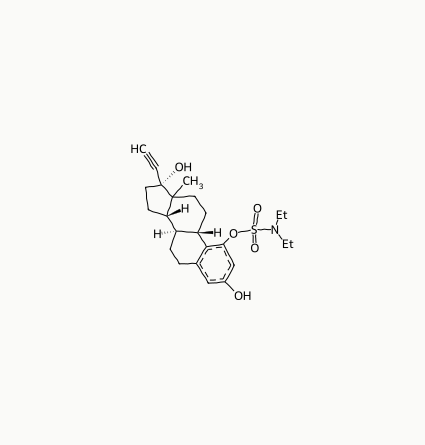 C#C[C@]1(O)CC[C@H]2[C@@H]3CCc4cc(O)cc(OS(=O)(=O)N(CC)CC)c4[C@H]3CCC21C